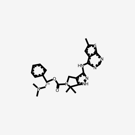 Cc1cc2c(Nc3n[nH]c4c3CN(C(=O)O[C@H](CN(C)C)c3ccccc3)C4(C)C)ncnc2s1